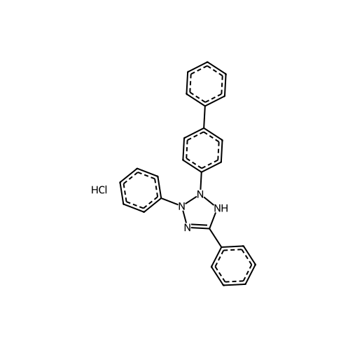 Cl.c1ccc(C2=NN(c3ccccc3)N(c3ccc(-c4ccccc4)cc3)N2)cc1